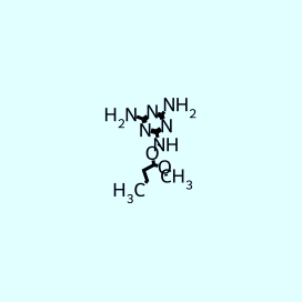 CCCC(OC)ONc1nc(N)nc(N)n1